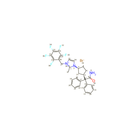 Cc1n([C@H]2CC[C@@H](C(C(N)=O)(c3ccccc3)c3ccccc3)C2)cc[n+]1Cc1c(F)c(F)c(F)c(F)c1F.[Br-]